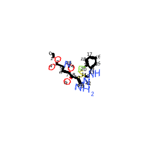 CCOC(=O)c1cc(C(=O)c2sc(Nc3ccccc3F)nc2N)on1